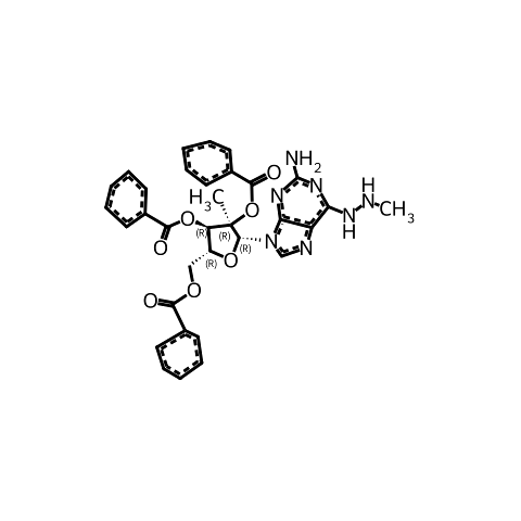 CNNc1nc(N)nc2c1ncn2[C@@H]1O[C@H](COC(=O)c2ccccc2)[C@@H](OC(=O)c2ccccc2)[C@@]1(C)OC(=O)c1ccccc1